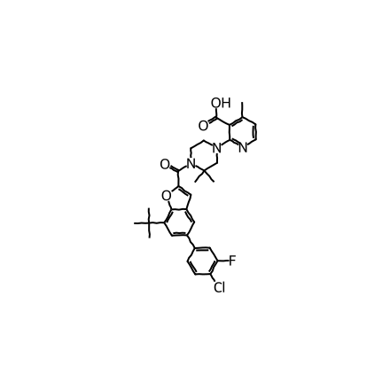 Cc1ccnc(N2CCN(C(=O)c3cc4cc(-c5ccc(Cl)c(F)c5)cc(C(C)(C)C)c4o3)C(C)(C)C2)c1C(=O)O